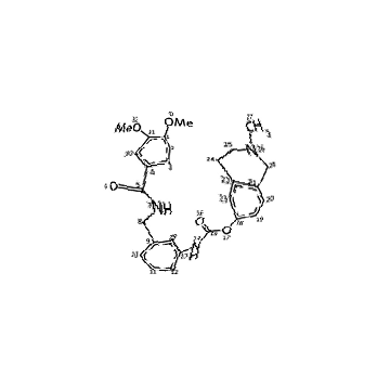 COc1ccc(C(=O)NCc2cccc(NC(=O)Oc3ccc4c(c3)CCN(C)C4)c2)cc1OC